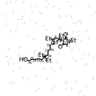 CCC(CC(CC)(CC)N1C(=O)CN(CC)C1=O)OCCCCC(CC)(CC)CCCCCO